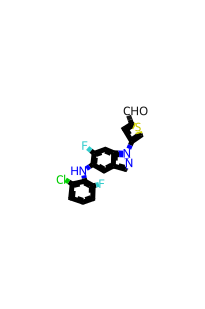 O=Cc1cc(-n2ncc3cc(Nc4c(F)cccc4Cl)c(F)cc32)cs1